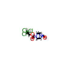 O=CN1CCN(C(=O)OCC(Cl)(Cl)Cl)CC1